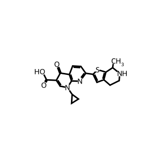 CC1NCCc2cc(-c3ccc4c(=O)c(C(=O)O)cn(C5CC5)c4n3)sc21